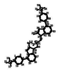 CC1=Cc2c(-c3ccc([Si](C)(C)C)cc3)cccc2C1C[SiH2]CC1C(C)=Cc2c(-c3ccc([Si](C)(C)C)cc3)cccc21